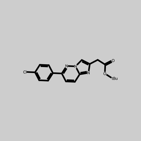 CC(C)(C)OC(=O)Cc1cn2nc(-c3ccc(Cl)cc3)ccc2n1